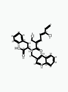 C=CC(Cl)=CC=C(CCl)C(=O)N(Cc1cnc2ccccc2c1)C(Cc1ccccc1)C(=O)O